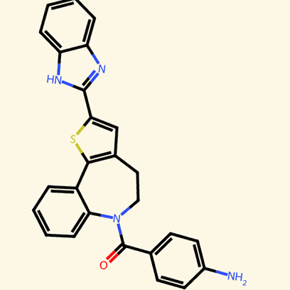 Nc1ccc(C(=O)N2CCc3cc(-c4nc5ccccc5[nH]4)sc3-c3ccccc32)cc1